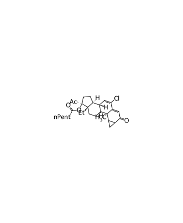 CCCCCC(=O)O[C@@]1(C(C)=O)CC[C@H]2[C@@H]3C=C(Cl)C4=CC(=O)C5CC5[C@@]4(C)[C@@H]3CC[C@@]21CC